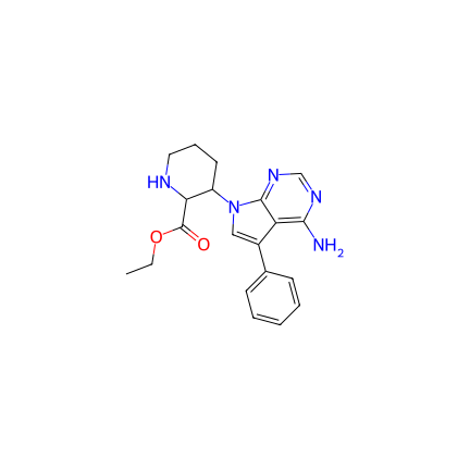 CCOC(=O)C1NCCCC1n1cc(-c2ccccc2)c2c(N)ncnc21